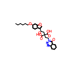 CCCCCCOc1ccc2c(C(=O)CC(CCn3nnc4ccccc4c3=O)(C(=O)O)C(=O)O)coc2c1